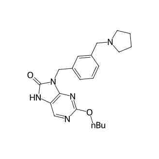 CCCCOc1ncc2[nH]c(=O)n(Cc3cccc(CN4CCCC4)c3)c2n1